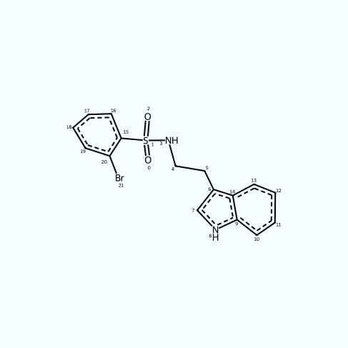 O=S(=O)(NCCc1c[nH]c2ccccc12)c1ccccc1Br